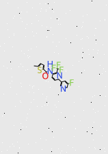 Cc1ccc(C(=O)Nc2ccc(-c3cncc(F)c3)nc2C(F)(F)F)s1